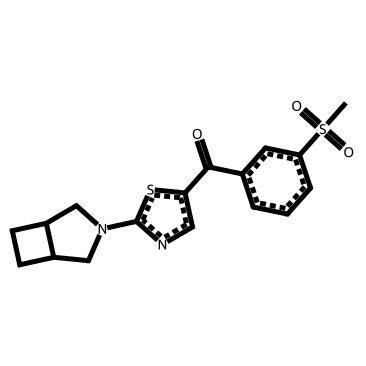 CS(=O)(=O)c1cccc(C(=O)c2cnc(N3CC4CCC4C3)s2)c1